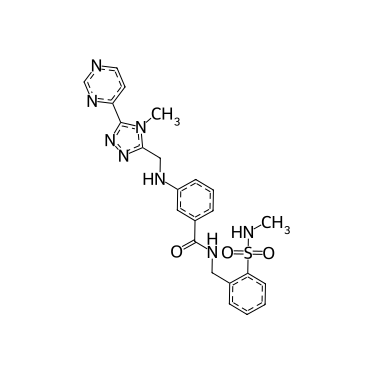 CNS(=O)(=O)c1ccccc1CNC(=O)c1cccc(NCc2nnc(-c3ccncn3)n2C)c1